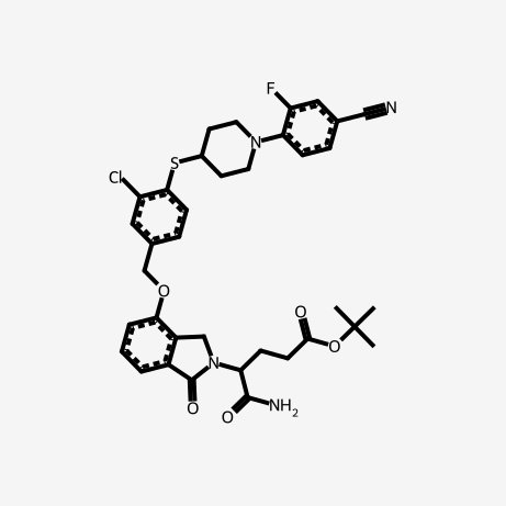 CC(C)(C)OC(=O)CCC(C(N)=O)N1Cc2c(OCc3ccc(SC4CCN(c5ccc(C#N)cc5F)CC4)c(Cl)c3)cccc2C1=O